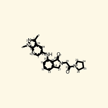 Cc1nn(C)c2ncc(Nc3cccc4c3C(=O)N(CC(=O)N3CCCC3)C4)cc12